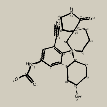 N#Cc1cc(NC(=O)[O-])ccc1[N+]1([C@H]2CC[C@H](O)CC2)CCC[C@@]2(CCNC2=O)C1